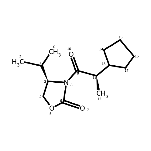 CC(C)[C@@H]1COC(=O)N1C(=O)[C@H](C)C1CCCC1